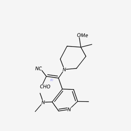 COC1(C)CCN(/C(=C(\C#N)C=O)c2cc(C)ncc2N(C)C)CC1